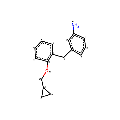 Nc1cccc(Cc2ccccc2OCC2CC2)c1